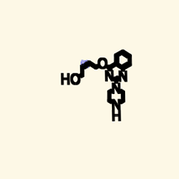 OC/C=C\COc1nc(N2CCNCC2)nc2ccccc12